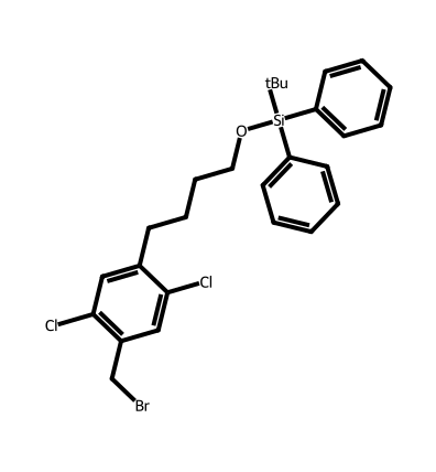 CC(C)(C)[Si](OCCCCc1cc(Cl)c(CBr)cc1Cl)(c1ccccc1)c1ccccc1